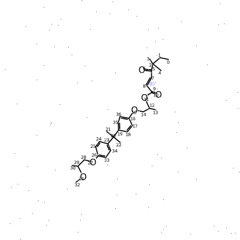 CCC(C)(C)C(=O)/C=C/C(=O)OC(C)COc1ccc(C(C)(C)c2ccc(OCC(C)OC)cc2)cc1